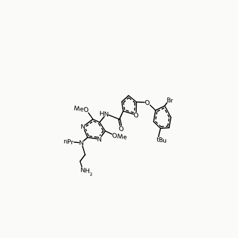 CCCN(CCN)c1nc(OC)c(NC(=O)c2ccc(Oc3cc(C(C)(C)C)ccc3Br)o2)c(OC)n1